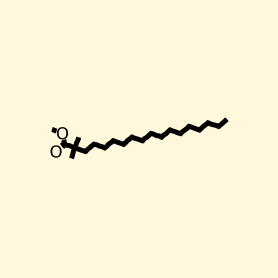 CCCCCCCCCCCCCCCCC(C)(C)C(=O)OC